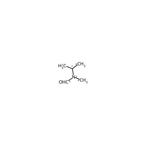 CC(C)N(C)[C]=O